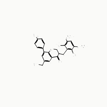 COc1cc(OC)c(Br)c(CC2COc3c(cc(CBr)cc3-c3ccc(F)cc3)C2=O)c1Br